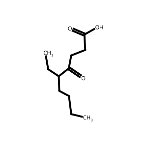 CCCCC(CC)C(=O)CCC(=O)O